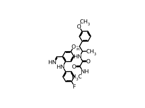 CNC(=O)C(=O)NC(C)[C@H](Oc1ccc(Nc2ccc(F)cc2)c(C=N)c1)c1cccc(OC)c1